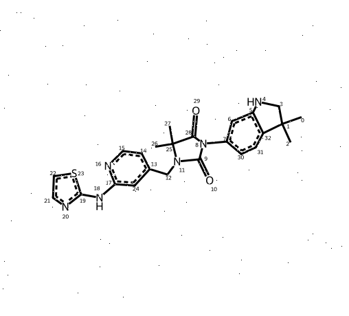 CC1(C)CNc2cc(N3C(=O)N(Cc4ccnc(Nc5nccs5)c4)C(C)(C)C3=O)ccc21